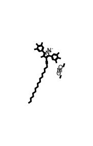 CCCCCCCCCCCCCCCCC#CC1=C(c2cc(C)c(C)c(C)c2)[N+](=[N-])C(c2cc(C)c(C)c(C)c2)=C1C.CC[O][Ni][O]CC